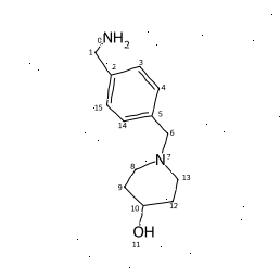 NCc1ccc(CN2CCC(O)CC2)cc1